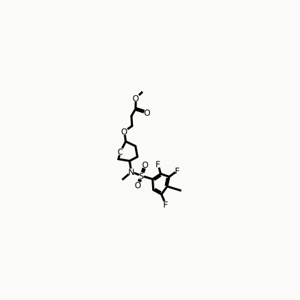 COC(=O)CCOC1CCC(N(C)S(=O)(=O)c2cc(F)c(C)c(F)c2F)CC1